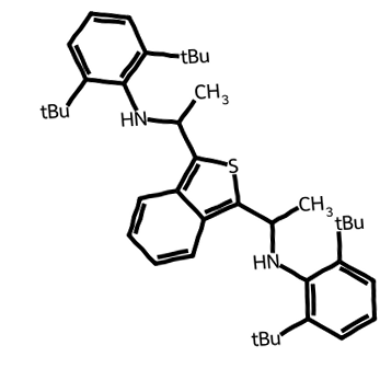 CC(Nc1c(C(C)(C)C)cccc1C(C)(C)C)c1sc(C(C)Nc2c(C(C)(C)C)cccc2C(C)(C)C)c2ccccc12